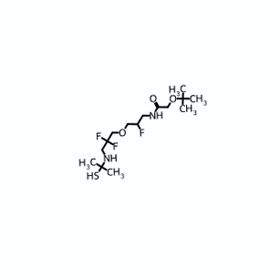 CC(C)(S)NCC(F)(F)COCC(F)CNC(=O)COC(C)(C)C